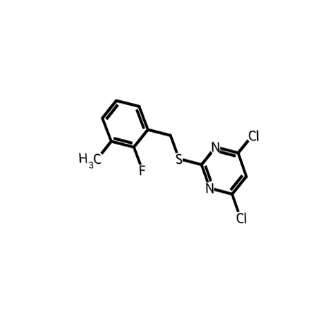 Cc1cccc(CSc2nc(Cl)cc(Cl)n2)c1F